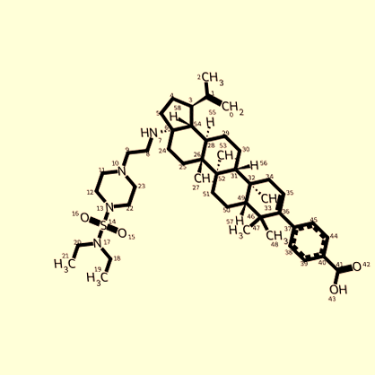 C=C(C)[C@@H]1CC[C@]2(NCCN3CCN(S(=O)(=O)N(CC)CC)CC3)CC[C@]3(C)[C@H](CC[C@@H]4[C@@]5(C)CC=C(c6ccc(C(=O)O)cc6)C(C)(C)[C@@H]5CC[C@]43C)[C@@H]12